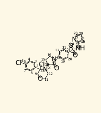 CC1(c2ccc(Cl)cc2)COCCN1[C@H]1CCN(c2ccc(S(=O)(=O)Nc3nccs3)cc2)C1=O